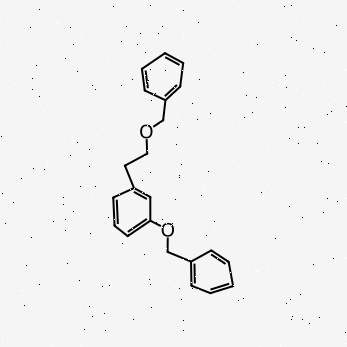 c1ccc(COCCc2cccc(OCc3ccccc3)c2)cc1